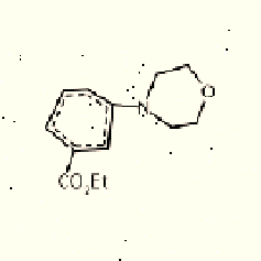 CCOC(=O)c1cccc(N2CCOCC2)c1